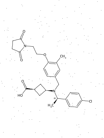 Cc1cc(CN([C@H]2C[C@@H](C(=O)O)C2)[C@H](C)c2ccc(Cl)cc2)ccc1OCCN1C(=O)CCC1=O